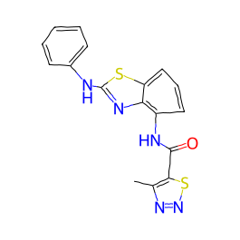 Cc1nnsc1C(=O)Nc1cccc2sc(Nc3ccccc3)nc12